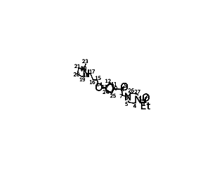 CCC(=O)N1CCN(CC(=O)c2ccc(OCCCN3CCC[C@H]3C)cc2)CC1